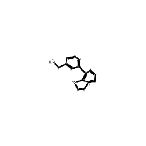 NCc1cccc(-c2cccc3ccoc23)c1